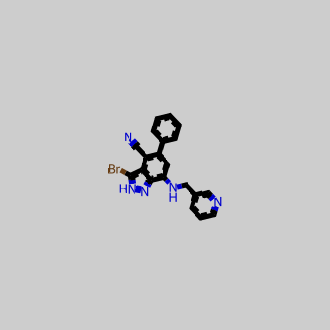 N#Cc1c(-c2ccccc2)cc(NCc2cccnc2)c2n[nH]c(Br)c12